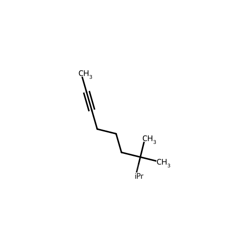 [CH2]C(C)C(C)(C)CCCC#CC